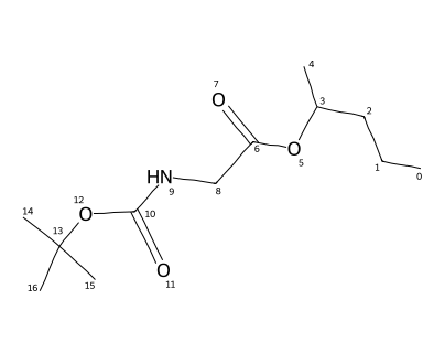 CCCC(C)OC(=O)CNC(=O)OC(C)(C)C